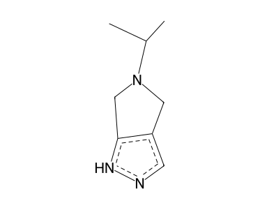 CC(C)N1Cc2cn[nH]c2C1